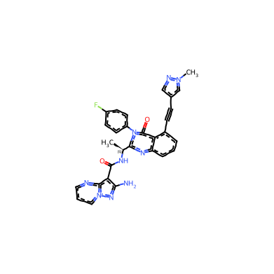 C[C@H](NC(=O)c1c(N)nn2cccnc12)c1nc2cccc(C#Cc3cnn(C)c3)c2c(=O)n1-c1ccc(F)cc1